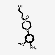 COc1cc(N2CCS(=O)(=NCCO)CC2)ccc1N